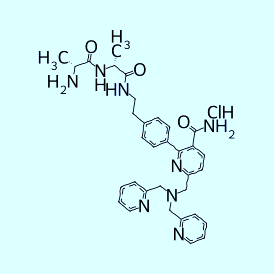 C[C@@H](N)C(=O)N[C@H](C)C(=O)NCCc1ccc(-c2nc(CN(Cc3ccccn3)Cc3ccccn3)ccc2C(N)=O)cc1.Cl